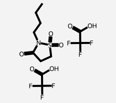 CCCCN1C(=O)CCS1(=O)=O.O=C(O)C(F)(F)F.O=C(O)C(F)(F)F